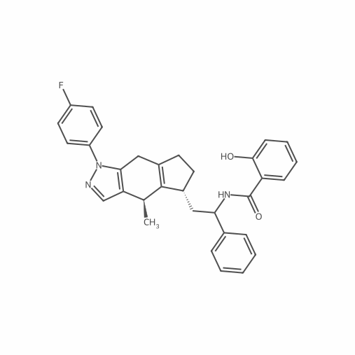 C[C@@H]1C2=C(CC[C@@H]2CC(NC(=O)c2ccccc2O)c2ccccc2)Cc2c1cnn2-c1ccc(F)cc1